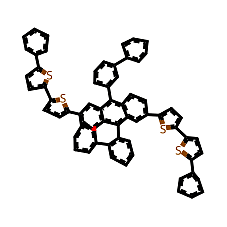 c1ccc(-c2cccc(-c3c4cc(-c5ccc(-c6ccc(-c7ccccc7)s6)s5)ccc4c(-c4ccccc4-c4ccccc4)c4cc(-c5ccc(-c6ccc(-c7ccccc7)s6)s5)ccc34)c2)cc1